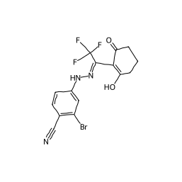 N#Cc1ccc(NN=C(C2=C(O)CCCC2=O)C(F)(F)F)cc1Br